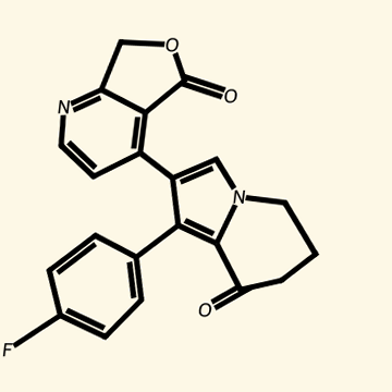 O=C1OCc2nccc(-c3cn4c(c3-c3ccc(F)cc3)C(=O)CCC4)c21